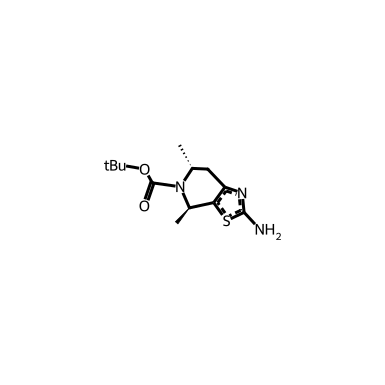 C[C@@H]1Cc2nc(N)sc2[C@@H](C)N1C(=O)OC(C)(C)C